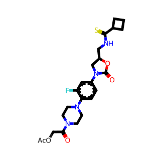 CC(=O)OCC(=O)N1CCN(c2ccc(N3CC(CNC(=S)C4CCC4)OC3=O)cc2F)CC1